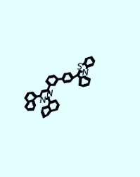 c1cc(-c2ccc(-c3c4ccccc4n4c3sc3ccccc34)cc2)cc(-c2cc(-c3cccc4ccccc34)nc(-c3cccc4ccccc34)n2)c1